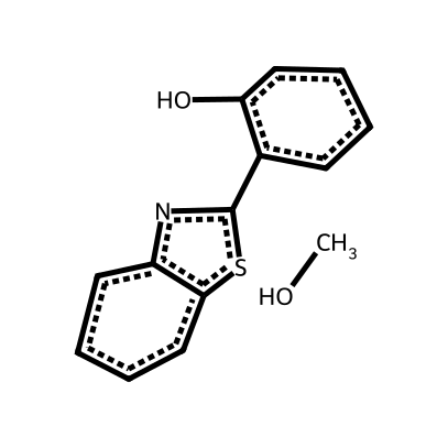 CO.Oc1ccccc1-c1nc2ccccc2s1